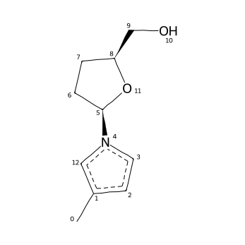 Cc1ccn([C@H]2CC[C@@H](CO)O2)c1